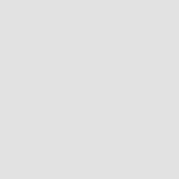 CCCCCCCCOc1c(C)c(C(=O)O)c(O)c(O)c1OCCCCCCCC